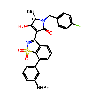 CC(=O)Nc1cccc(-c2cccc3c2S(=O)(=O)N=C3C2=C(O)[C@H](C(C)(C)C)N(Cc3ccc(F)cc3)C2=O)c1